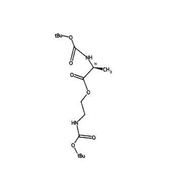 C[C@H](NC(=O)OC(C)(C)C)C(=O)OCCNC(=O)OC(C)(C)C